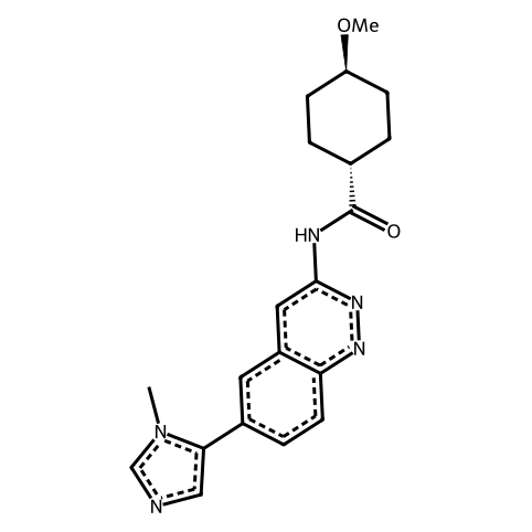 CO[C@H]1CC[C@H](C(=O)Nc2cc3cc(-c4cncn4C)ccc3nn2)CC1